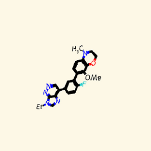 CCn1cnc2c(-c3ccc(F)c(-c4ccc5c(c4OC)OCCN5C)c3)cnnc21